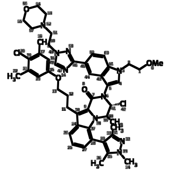 COCCn1cc(N2C(=O)c3c(CCCOc4cc(C)c(Cl)c(C)c4)c4cccc(-c5c(C)nn(C)c5C)c4n3C(C)[C@H]2Cl)c2cc(-c3ncn(CCN4CCOCC4)n3)ccc21